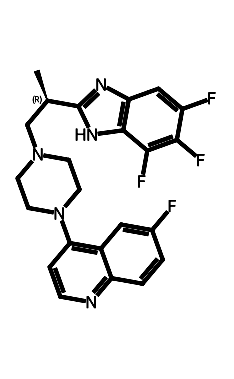 C[C@H](CN1CCN(c2ccnc3ccc(F)cc23)CC1)c1nc2cc(F)c(F)c(F)c2[nH]1